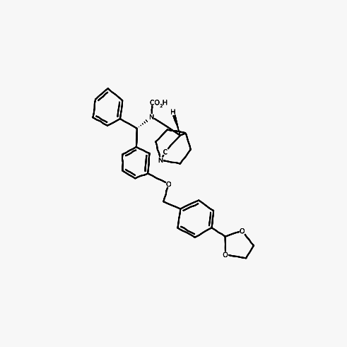 O=C(O)N([C@@H](c1ccccc1)c1cccc(OCc2ccc(C3OCCO3)cc2)c1)[C@H]1CN2CCC1CC2